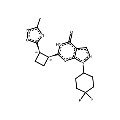 Cc1noc([C@@H]2CC[C@@H]2c2nc3c(cnn3C3CCC(F)(F)CC3)c(=O)[nH]2)n1